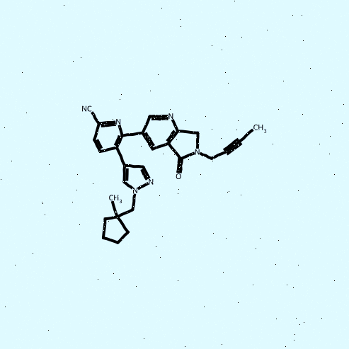 CC#CCN1Cc2ncc(-c3nc(C#N)ccc3-c3cnn(CC4(C)CCCC4)c3)cc2C1=O